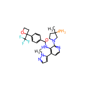 Cn1nccc1-c1ccnc(N2CCC(C)(P)C2)c1NC(=O)c1ccc(C2(C(F)(F)F)CCO2)cc1